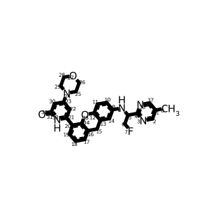 Cc1cnc(C(CF)Nc2ccc3c(c2)Cc2cccc(-c4cc(N5CCOCC5)cc(=O)[nH]4)c2O3)nc1